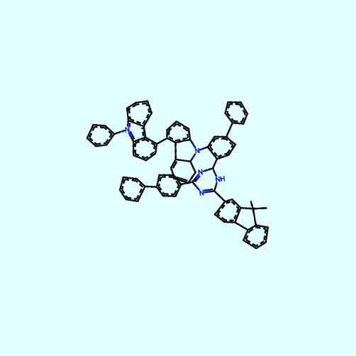 CC1(C)c2ccccc2-c2ccc(C3=NC(c4ccc(-c5ccccc5)cc4)=NC(c4ccc(-c5ccccc5)cc4N4c5cccc(-c6cccc7c6c6ccccc6n7-c6ccccc6)c5C5=CC=CCC54)N3)cc21